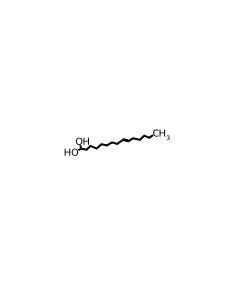 CCCCCC=CCCCCCCCC(O)O